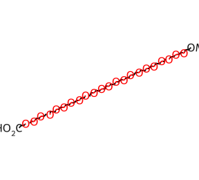 COCCOCCOCCOCCOCCOCCOCCOCCOCCOCCOCCOCCOCCOCCOCCOCCOCCOCCOCCOCCOCCOCCOCCC(=O)O